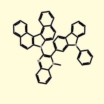 CN1C(c2ccc3c4ccccc4n(-c4ccccc4)c3c2)=C(n2c3ccc4ccccc4c3c3c4ccccc4ccc32)N=C2C=CC=CC21